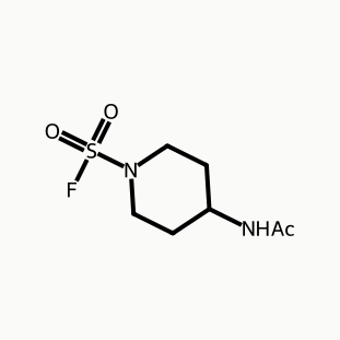 CC(=O)NC1CCN(S(=O)(=O)F)CC1